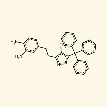 Cc1c(CCc2ccc(N)c(N)c2)ncn1C(c1ccccc1)(c1ccccc1)c1ccccc1